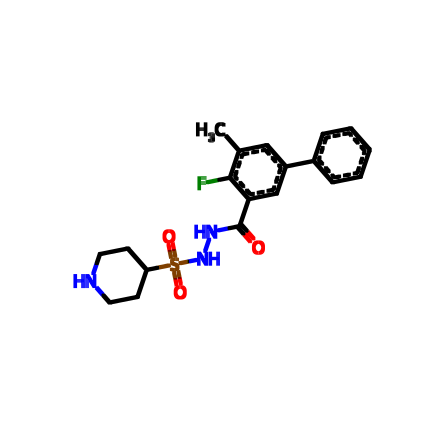 Cc1cc(-c2ccccc2)cc(C(=O)NNS(=O)(=O)C2CCNCC2)c1F